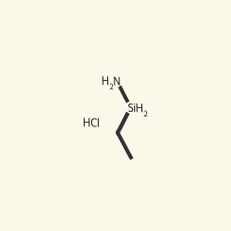 CC[SiH2]N.Cl